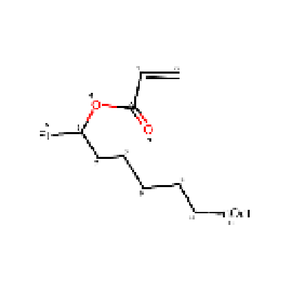 C=CC(=O)OC(CC)CCCCCCCCCCCCC